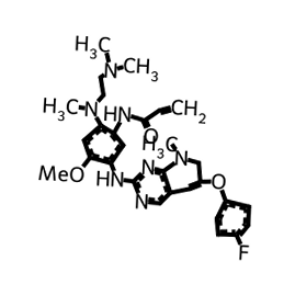 C=CC(=O)Nc1cc(Nc2ncc3c(n2)N(C)CC(Oc2ccc(F)cc2)=C3)c(OC)cc1N(C)CCN(C)C